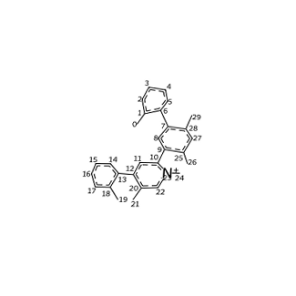 Cc1ccccc1-c1cc(-c2cc(-c3ccccc3C)c(C)c[n+]2C)c(C)cc1C